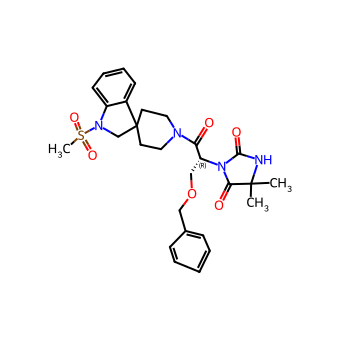 CC1(C)NC(=O)N([C@H](COCc2ccccc2)C(=O)N2CCC3(CC2)CN(S(C)(=O)=O)c2ccccc23)C1=O